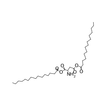 CCCCCCCCCCCCCCC(=O)OC(=O)CC(N)C(=O)OC(=O)CCCCCCCCCCCCCC